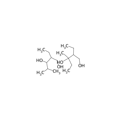 CCC(CO)C(C)(O)CC.CCC(CO)C(O)C(C)C